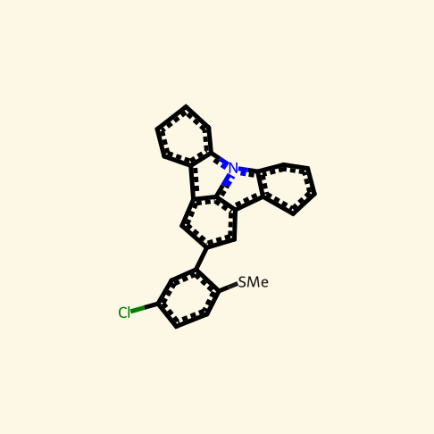 CSc1ccc(Cl)cc1-c1cc2c3ccccc3n3c4ccccc4c(c1)c23